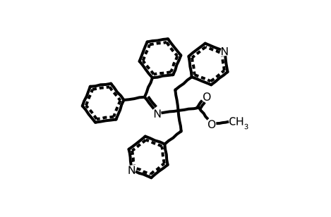 COC(=O)C(Cc1ccncc1)(Cc1ccncc1)N=C(c1ccccc1)c1ccccc1